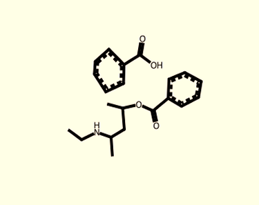 CCNC(C)CC(C)OC(=O)c1ccccc1.O=C(O)c1ccccc1